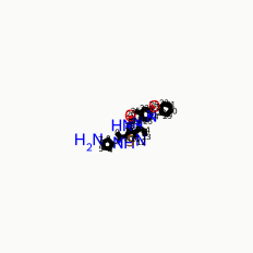 C=C(N[C@@H]1CCC(N)C1)c1sc2nccc3c2c1NC(=O)N3c1cnc(Oc2ccccc2)cc1C